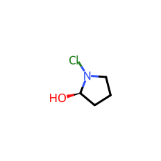 O[C@@H]1CCCN1Cl